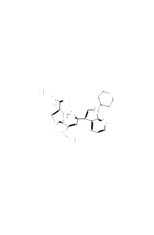 CNC(=O)c1cnc2c(NC)cc(-c3cn(C4CCOCC4)c4ncccc34)nn12